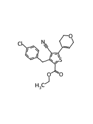 CCOC(=O)c1sc(C2=CCOCC2)c(C#N)c1Cc1ccc(Cl)cc1